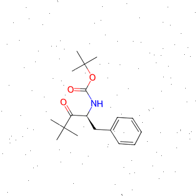 CC(C)(C)OC(=O)N[C@@H](Cc1ccccc1)C(=O)C(C)(C)C